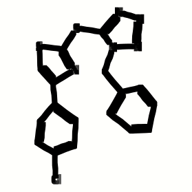 Clc1ccc(-c2csc(Sc3nnnn3Cc3ccccc3)n2)cc1